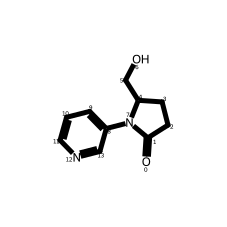 O=C1CCC(CO)N1c1cccnc1